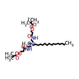 C=C(C)C(=O)OOCCC(=O)NCC[N+](C)(CCCCCCCCCCCCCCCC)CCNC(=O)CCOOC(=O)C(=C)C.[I-]